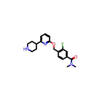 CN(C)C(=O)c1ccc(COc2cccc(C3CCNCC3)n2)c(F)c1